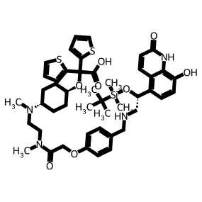 CN(CCN(C)[C@H]1CC[C@H](OC(C(=O)O)(c2cccs2)c2cccs2)CC1)C(=O)COc1ccc(CNC[C@H](O[Si](C)(C)C(C)(C)C)c2ccc(O)c3[nH]c(=O)ccc23)cc1